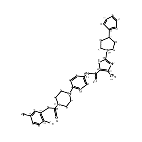 O=C(Nc1ccc(N2CCN(C(=O)Cc3cc(F)ccc3F)CC2)nc1)c1oc(N2CCC(c3ccccc3)CC2)nc1C(F)(F)F